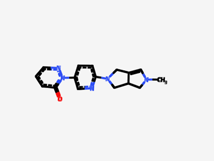 CN1C=C2CN(c3ccc(-n4ncccc4=O)cn3)CC2C1